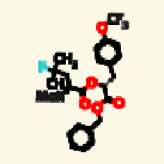 CN[C@@H](CC(C)(C)F)C(=O)O[C@H](Cc1ccc(OC(F)(F)F)cc1)C(=O)OCc1ccccc1